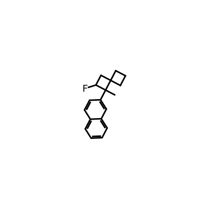 CC1(c2ccc3ccccc3c2)C(F)CC12CCC2